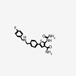 NC(=O)Nc1sc(-c2ccc(CNCc3ccc(F)cc3)cc2)cc1C(N)=O